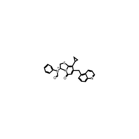 O=CN(c1ccccc1)[C@H]1CSc2c(C3CC3)c(Cc3cccc4ncccc34)cc(=O)n21